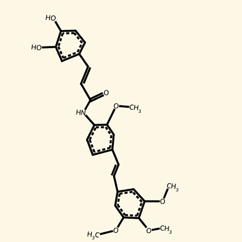 COc1cc(C=Cc2cc(OC)c(OC)c(OC)c2)ccc1NC(=O)/C=C/c1ccc(O)c(O)c1